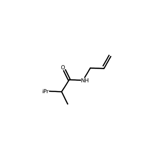 C=CCNC(=O)C(C)C(C)C